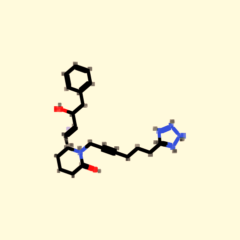 O=C1CCC[C@H](/C=C/C(O)Cc2ccccc2)N1CC#CCCCc1nn[nH]n1